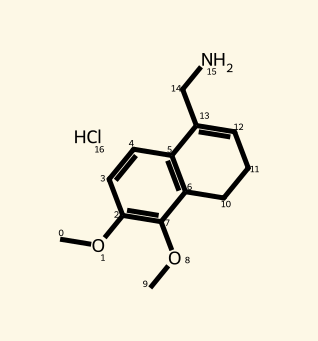 COc1ccc2c(c1OC)CCC=C2CN.Cl